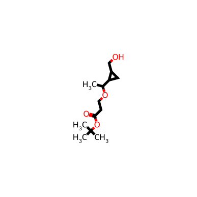 CC(OCCC(=O)OC(C)(C)C)C1CC1CO